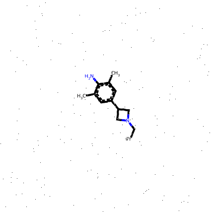 C[C](C)CN1CC(c2cc(C)c(N)c(C)c2)C1